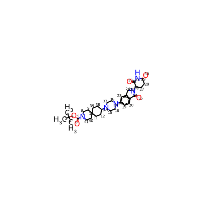 CC(C)(C)OC(=O)N1CCC2(CCC(N3CCN(c4ccc5c(c4)CN([C@H]4CCC(=O)NC4=O)C5=O)CC3)CC2)CC1